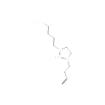 C=CCCN1CCN(CCCCC(=O)O)N1